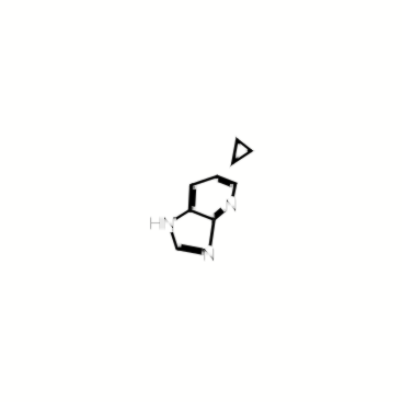 C1CC1.c1cnc2nc[nH]c2c1